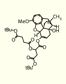 COc1ccc2c3c1O[C@H]1C(OC(=O)C(CC(=O)OC(C)(C)C)OC(=O)CCC(=O)OC(C)(C)C)=CC[C@@]4(O)[C@@H](C2)N(C)CC[C@]314